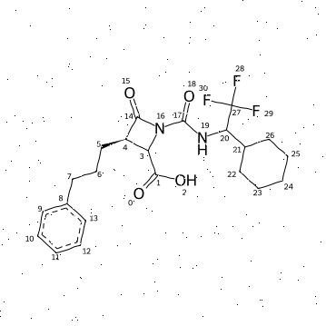 O=C(O)C1[C@@H](CCCc2ccccc2)C(=O)N1C(=O)NC(C1CCCCC1)C(F)(F)F